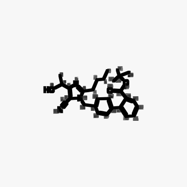 CCCCc1nc(C(C)O)c(C#N)n1Cc1ccc(-c2ccccc2C(=O)OC(C)(C)C)cc1